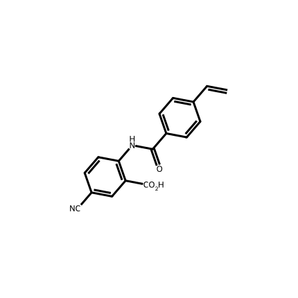 C=Cc1ccc(C(=O)Nc2ccc(C#N)cc2C(=O)O)cc1